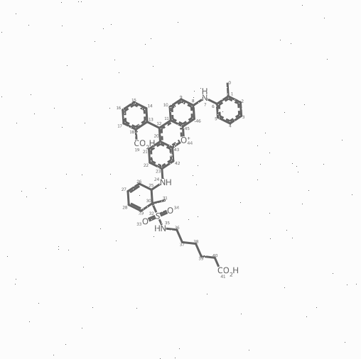 Cc1ccccc1Nc1ccc2c(-c3ccccc3C(=O)O)c3ccc(NC4C=CC=CC4(C)S(=O)(=O)NCCCCCC(=O)O)cc3[o+]c2c1